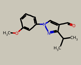 COc1cccc(-n2cc(C=O)c(C(C)C)n2)c1